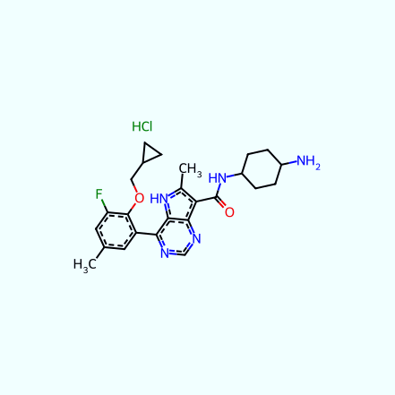 Cc1cc(F)c(OCC2CC2)c(-c2ncnc3c(C(=O)NC4CCC(N)CC4)c(C)[nH]c23)c1.Cl